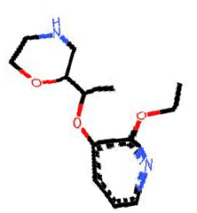 CCOc1ncccc1OC(C)C1CNCCO1